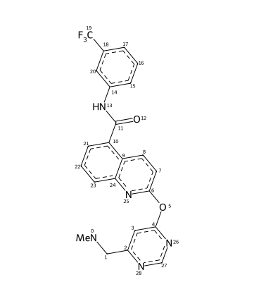 CNCc1cc(Oc2ccc3c(C(=O)Nc4cccc(C(F)(F)F)c4)cccc3n2)ncn1